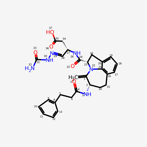 C=C1[C@@H](NC(=O)CCc2ccccc2)CCc2cccc3c2N1[C@H](C(=O)N[C@H](/C=N/NC(N)=O)CC(=O)O)C3